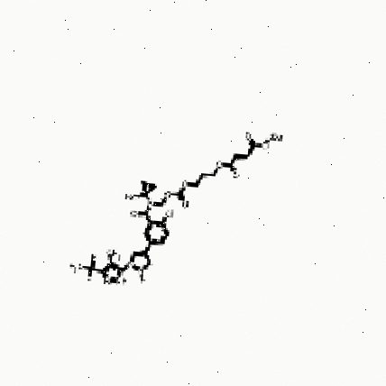 CN1CC(c2ccc(Cl)c(C(=O)N(COC(=O)OCCCOC(=O)/C=C/C(=O)OC(C)(C)C)C3(C#N)CC3)c2)=CN1c1[nH]nc(C(F)(F)C(F)(F)F)c1C(F)(F)F